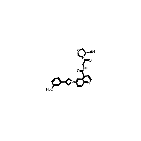 Cc1cccc(C2CN(c3ccc4nccc(C(=O)NCC(=O)N5CSC[C@H]5C#N)c4c3)C2)c1